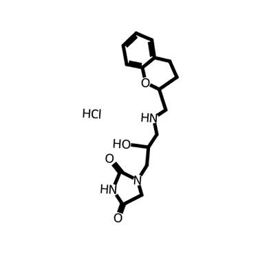 Cl.O=C1CN(CC(O)CNCC2CCc3ccccc3O2)C(=O)N1